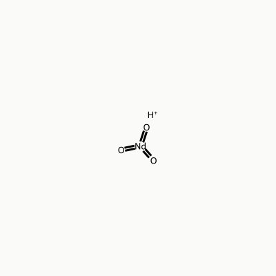 [H+].[O]=[Nd](=[O])=[O]